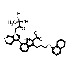 CC(C)(C)C(=O)Cn1cc(-c2cccc3c(CCCOc4cccc5ccccc45)c(C(=O)O)[nH]c23)c2ccncc21